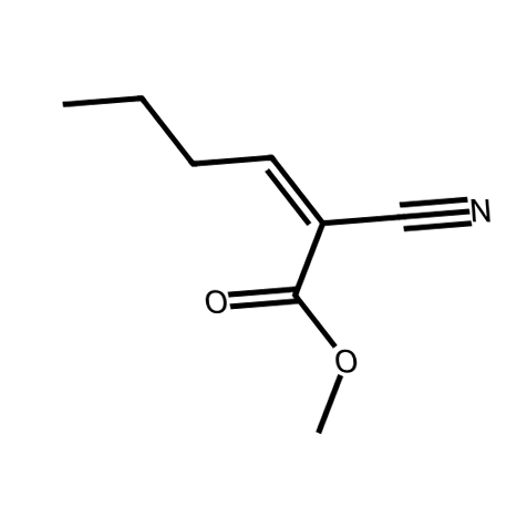 CCCC=C(C#N)C(=O)OC